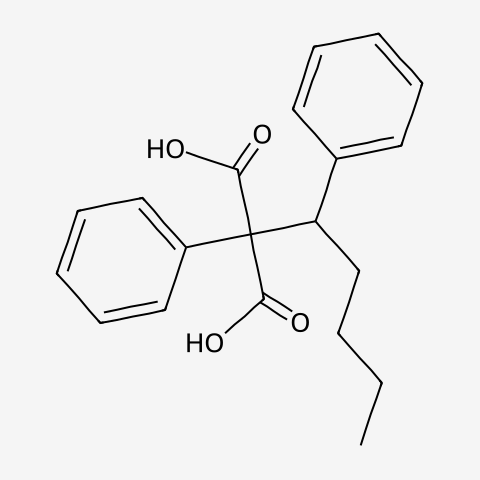 CCCCC(c1ccccc1)C(C(=O)O)(C(=O)O)c1ccccc1